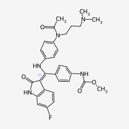 COC(=O)Nc1ccc(/C(Nc2ccc(N(CCCN(C)C)C(C)=O)cc2)=C2/C(=O)Nc3cc(F)ccc32)cc1